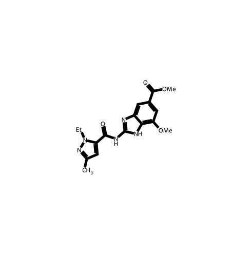 CCn1nc(C)cc1C(=O)Nc1nc2cc(C(=O)OC)cc(OC)c2[nH]1